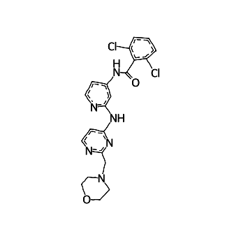 O=C(Nc1ccnc(Nc2ccnc(CN3CCOCC3)n2)c1)c1c(Cl)cccc1Cl